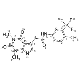 Cc1ccc(NC(=O)Cn2cnc3c2c(=O)n(C)c(=O)n3C)cc1C(F)(F)F